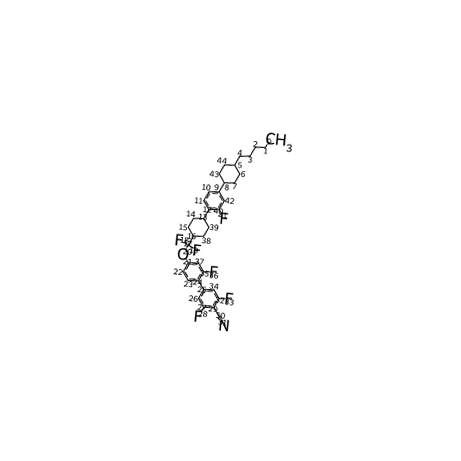 CCCCCC1CCC(c2ccc(C3CCC(C(F)(F)Oc4ccc(-c5cc(F)c(C#N)c(F)c5)c(F)c4)CC3)c(F)c2)CC1